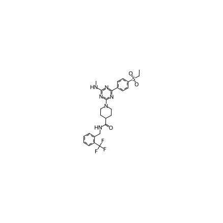 CCS(=O)(=O)c1ccc(-c2nc(NC)nc(N3CCC(C(=O)NCc4ccccc4C(F)(F)F)CC3)n2)cc1